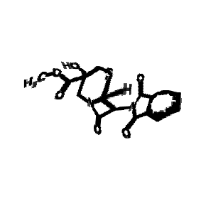 COC(=O)C1(O)CS[C@@H]2C(N3C(=O)c4ccccc4C3=O)C(=O)N2C1